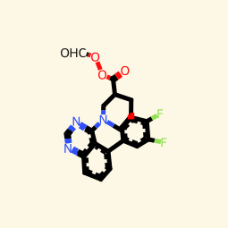 O=COOC(=O)C1CCCN(c2ncnc3cccc(-c4ccc(F)c(F)c4)c23)C1